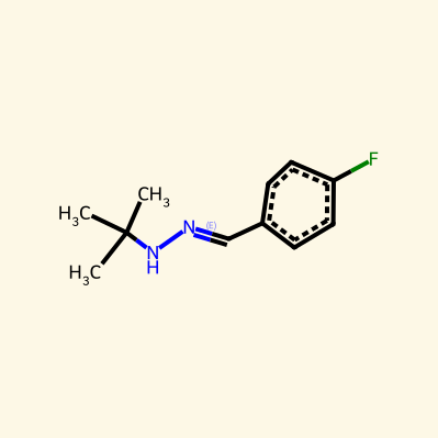 CC(C)(C)N/N=C/c1ccc(F)cc1